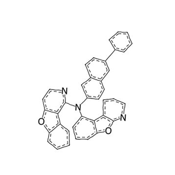 c1ccc(-c2ccc3cc(N(c4nccc5oc6ccccc6c45)c4cccc5oc6ncccc6c45)ccc3c2)cc1